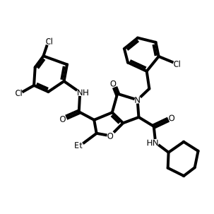 CCC1OC2=C(C(=O)N(Cc3ccccc3Cl)C2C(=O)NC2CCCCC2)C1C(=O)Nc1cc(Cl)cc(Cl)c1